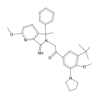 COc1ccc2c(n1)C(=N)N(CC(=O)c1cc(N3CCCC3)c(OC)c(C(C)(C)C)c1)C2(C)c1ccccc1